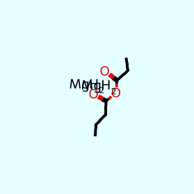 CCCC(=O)OC(=O)CC.[MgH2].[MgH2]